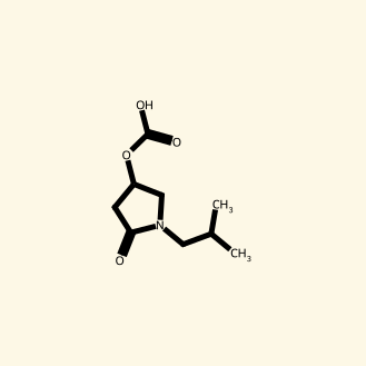 CC(C)CN1CC(OC(=O)O)CC1=O